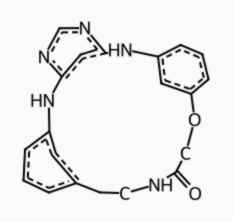 O=C1COc2cccc(c2)Nc2cc(ncn2)Nc2cccc(c2)CCN1